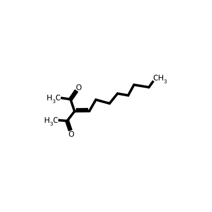 CCCCCCCC=C(C(C)=O)C(C)=O